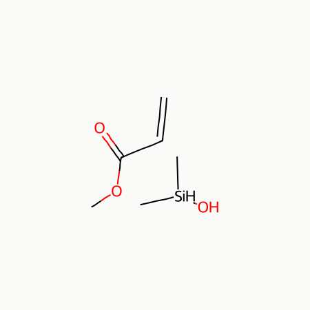 C=CC(=O)OC.C[SiH](C)O